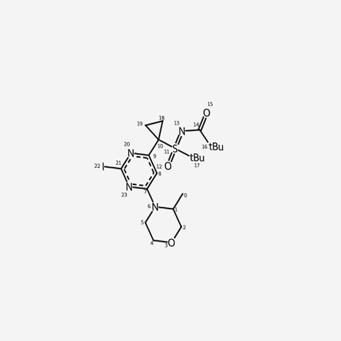 CC1COCCN1c1cc(C2(S(=O)(=NC(=O)C(C)(C)C)C(C)(C)C)CC2)nc(I)n1